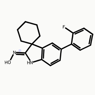 O/N=C1\Nc2ccc(-c3ccccc3F)cc2C12CCCCC2